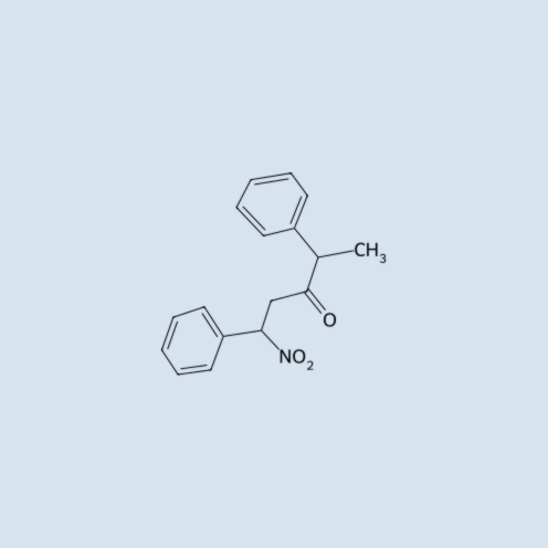 CC(C(=O)CC(c1ccccc1)[N+](=O)[O-])c1ccccc1